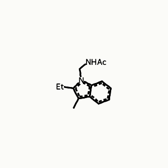 CCc1c(C)c2ccccc2n1CNC(C)=O